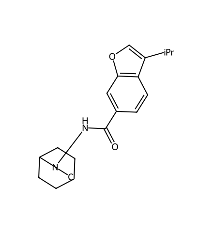 CC(C)c1coc2cc(C(=O)NN3CC4CCC(CC4)C3)ccc12